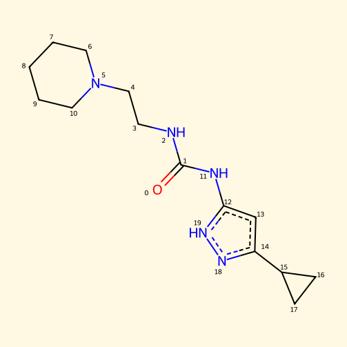 O=C(NCCN1CCCCC1)Nc1cc(C2CC2)n[nH]1